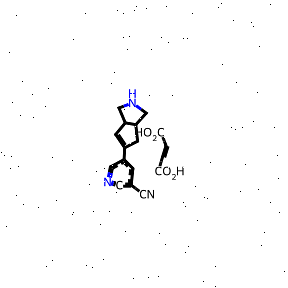 N#Cc1cncc(C2=CC3CNCC3C2)c1.O=C(O)C=CC(=O)O